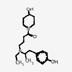 CCN(CCCC(=O)N1CCC(O)CC1)C(C)Cc1ccc(O)cc1